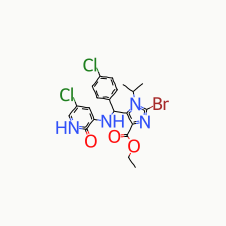 CCOC(=O)c1nc(Br)n(C(C)C)c1C(Nc1cc(Cl)c[nH]c1=O)c1ccc(Cl)cc1